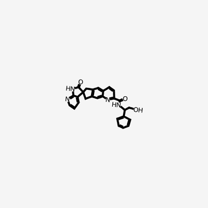 O=C(NC(CO)c1ccccc1)c1ccc2cc3c(cc2n1)CC1(C3)C(=O)Nc2ncccc21